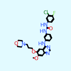 COc1cc2ncnc(Nc3cccc(NC(=O)Nc4ccc(F)c(Cl)c4)c3)c2cc1OCCCN1CCOCC1